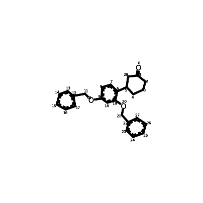 O=C1CCCC(c2ccc(OCc3ccccc3)cc2OCc2ccccc2)C1